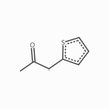 CC(=O)[C]c1cccs1